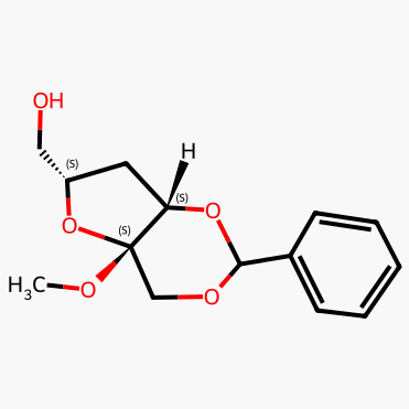 CO[C@]12COC(c3ccccc3)O[C@H]1C[C@@H](CO)O2